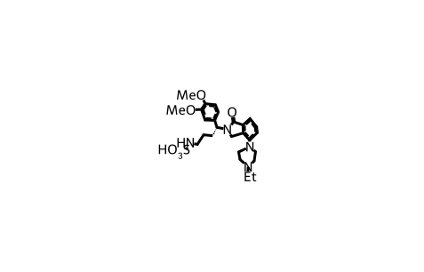 CCN1CCN(c2cccc3c2CN([C@H](CCCNS(=O)(=O)O)c2ccc(OC)c(OC)c2)C3=O)CC1